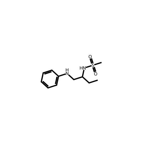 CCC(CNc1ccccc1)NS(C)(=O)=O